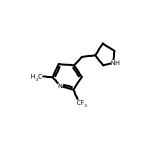 Cc1cc(CC2CCNC2)cc(C(F)(F)F)n1